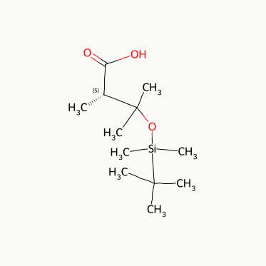 C[C@H](C(=O)O)C(C)(C)O[Si](C)(C)C(C)(C)C